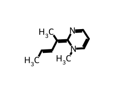 CC=C/C(C)=C1/N=CC=CN1C